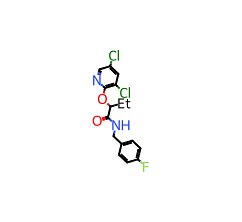 CCC(Oc1ncc(Cl)cc1Cl)C(=O)NCc1ccc(F)cc1